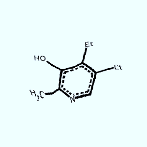 CCc1cnc(C)c(O)c1CC